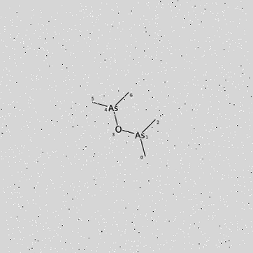 C[As](C)O[As](C)C